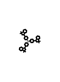 CC1(C)C=C(c2ccc(N(c3ccc(C4=CC(C)(C)c5ccccc54)cc3)c3ccc(C4=CC(C)(C)c5ccccc54)cc3)cc2)c2ccccc21